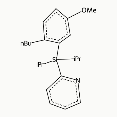 CCCCc1ccc(OC)cc1[Si](c1ccccn1)(C(C)C)C(C)C